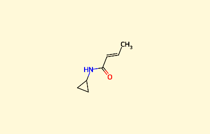 C/C=C/C(=O)NC1CC1